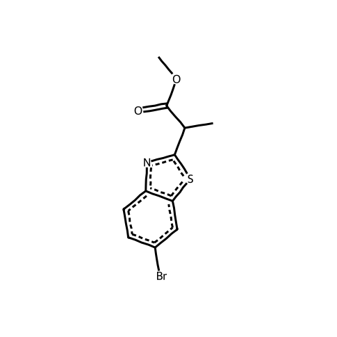 COC(=O)C(C)c1nc2ccc(Br)cc2s1